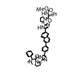 COC(=O)N[C@H](C(=O)N1CCC[C@H]1c1ncc(-c2ccc3cc(-c4ccc(-c5cnc([C@@H]6CCCN6C(=O)C(c6ccccc6)N(C)C)[nH]5)cc4)ccc3c2)[nH]1)C(C)C